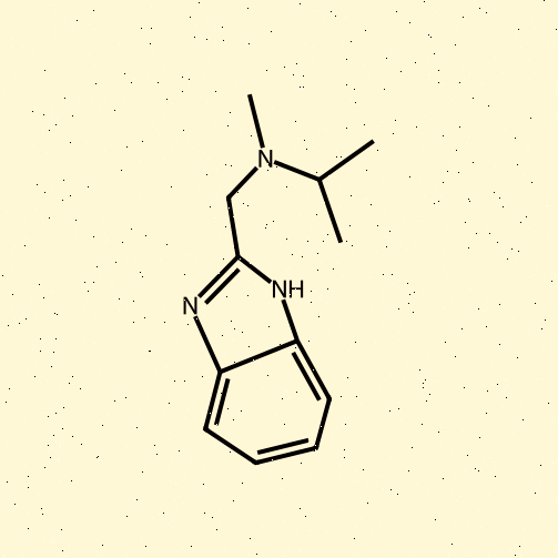 CC(C)N(C)Cc1nc2ccccc2[nH]1